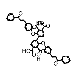 O=C(/C=C/c1ccc(Oc2c(-c3ccc(C(=O)O)c(C(=O)O)c3Oc3ccc(/C=C/C(=O)c4ccccc4)cc3)ccc(C(=O)O)c2C(=O)O)cc1)c1ccccc1